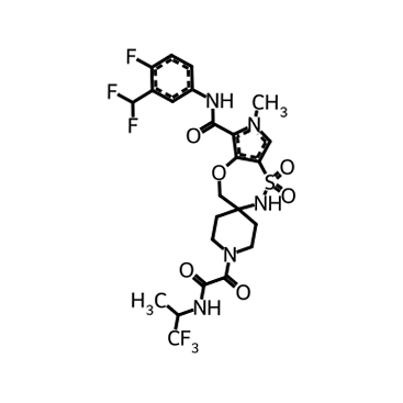 CC(NC(=O)C(=O)N1CCC2(CC1)COc1c(cn(C)c1C(=O)Nc1ccc(F)c(C(F)F)c1)S(=O)(=O)N2)C(F)(F)F